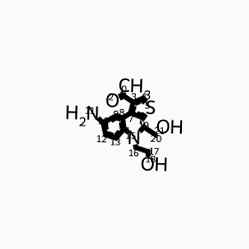 CC(=O)c1cscc1-c1cc(N)ccc1N(CCO)CCO